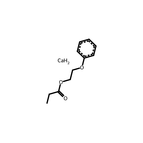 CCC(=O)OCCOc1ccccc1.[CaH2]